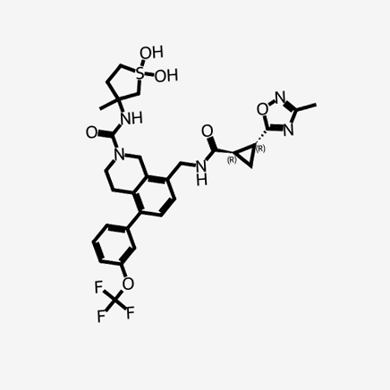 Cc1noc([C@@H]2C[C@H]2C(=O)NCc2ccc(-c3cccc(OC(F)(F)F)c3)c3c2CN(C(=O)NC2(C)CCS(O)(O)C2)CC3)n1